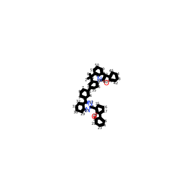 CC1(C)c2cc(-c3cccc(-c4nc(-c5cccc6c5oc5ccccc56)nc5ccccc45)c3)ccc2-n2c3oc4ccccc4c3c3cccc1c32